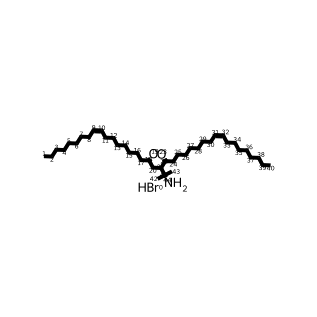 Br.CCCCCCCC/C=C\CCCCCCCC(=O)CC(C(=O)CCCCCCC/C=C\CCCCCCCC)C(C)(C)N